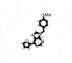 CSc1ccc(Cn2cnc3c(-c4ccco4)ncnc32)cc1